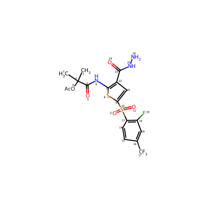 CC(=O)OC(C)(C)C(=O)Nc1sc(S(=O)(=O)c2ccc(C(F)(F)F)cc2F)cc1C(=O)NN